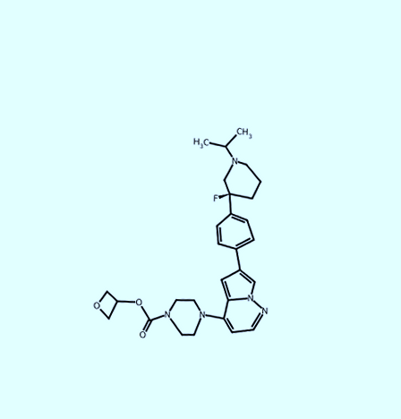 CC(C)N1CCC[C@](F)(c2ccc(-c3cc4c(N5CCN(C(=O)OC6COC6)CC5)ccnn4c3)cc2)C1